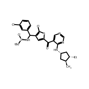 CC[C@H]1C[C@@H](Nc2ncncc2C(=O)c2cc(C(N[S+]([O-])C(C)(C)C)c3cccc(Cl)c3)c(Cl)s2)C[C@@H]1C